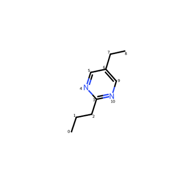 CCCc1ncc(CC)cn1